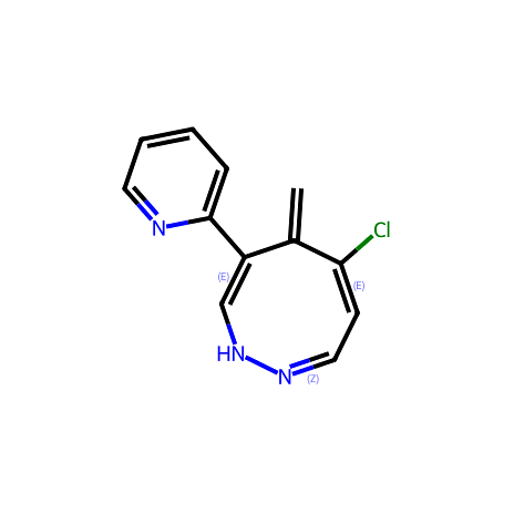 C=C1/C(Cl)=C\C=N/N/C=C\1c1ccccn1